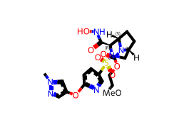 COCCOC(=O)N1[C@@H]2CC[C@H]1[C@H](C(=O)NO)N(S(=O)(=O)c1ccc(Oc3cnn(C)c3)nc1)C2